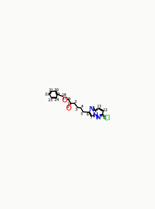 O=C(CCCCc1cn2nc(Cl)ccc2n1)COCc1ccccc1